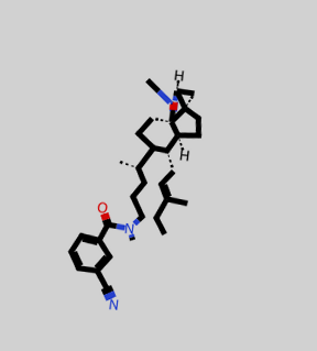 CC/C(C)=C/C[C@@H]1C([C@@H](C)CCCN(C)C(=O)c2cccc(C#N)c2)CC[C@]23CN(C)[C@H]4C[C@@]42CC[C@@H]13